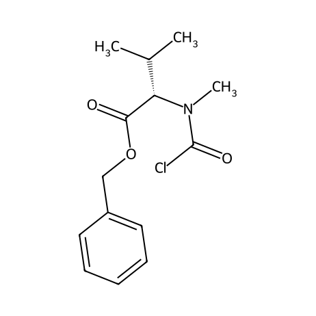 CC(C)[C@@H](C(=O)OCc1ccccc1)N(C)C(=O)Cl